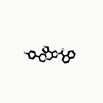 O=C(c1cccc2ccccc12)N1CC(CN2CCC(c3ccc(F)cc3)CC2)C(c2ccsc2)C1